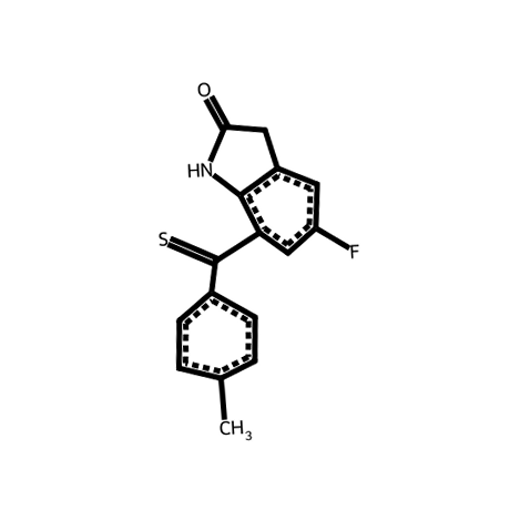 Cc1ccc(C(=S)c2cc(F)cc3c2NC(=O)C3)cc1